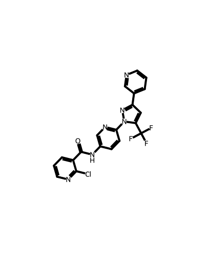 O=C(Nc1ccc(-n2nc(-c3cccnc3)cc2C(F)(F)F)nc1)c1cccnc1Cl